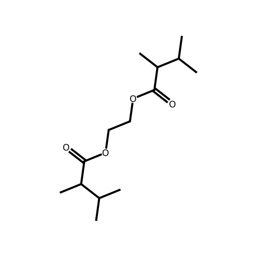 CC(C)C(C)C(=O)OCCOC(=O)C(C)C(C)C